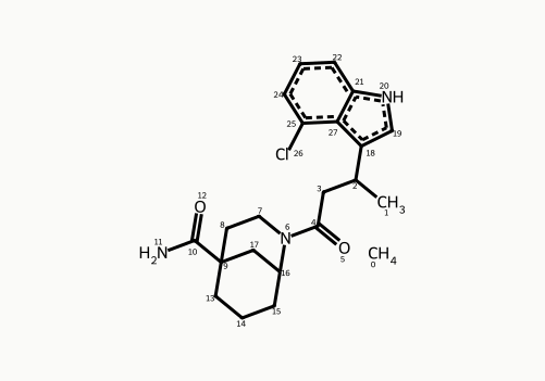 C.CC(CC(=O)N1CCC2(C(N)=O)CCCC1C2)c1c[nH]c2cccc(Cl)c12